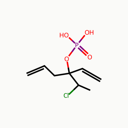 C=CCC(C=C)(OP(=O)(O)O)C(C)Cl